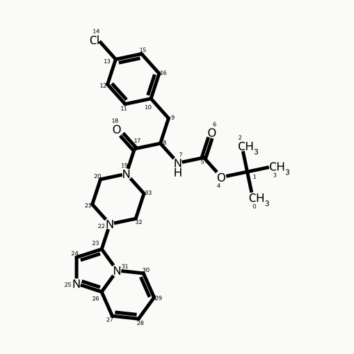 CC(C)(C)OC(=O)NC(Cc1ccc(Cl)cc1)C(=O)N1CCN(c2cnc3ccccn23)CC1